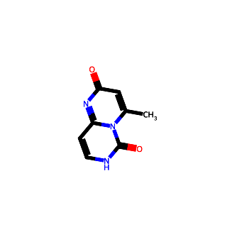 Cc1cc(=O)nc2cc[nH]c(=O)n12